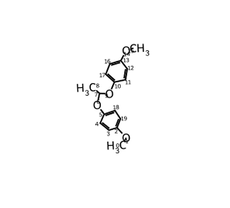 COc1ccc(OC(C)Oc2ccc(OC)cc2)cc1